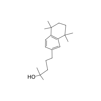 CC(C)(O)CCCc1ccc2c(c1)C(C)(C)CCC2(C)C